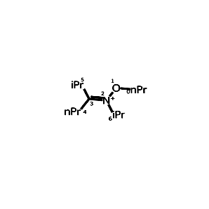 CCCO/[N+](=C(/CCC)C(C)C)C(C)C